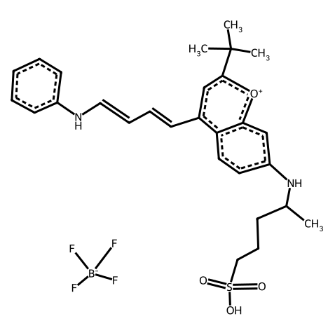 CC(CCCS(=O)(=O)O)Nc1ccc2c(/C=C/C=C/Nc3ccccc3)cc(C(C)(C)C)[o+]c2c1.F[B-](F)(F)F